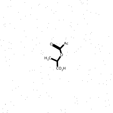 CC(=O)C(=O)OC(C)C(=O)O